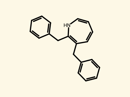 C1=CNC(Cc2ccccc2)=C(Cc2ccccc2)C=C1